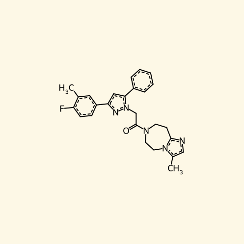 Cc1cc(-c2cc(-c3ccccc3)n(CC(=O)N3CCc4ncc(C)n4CC3)n2)ccc1F